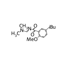 CCC(C)c1ccc(OC)c(S(=O)(=O)N=CN(C)C)c1